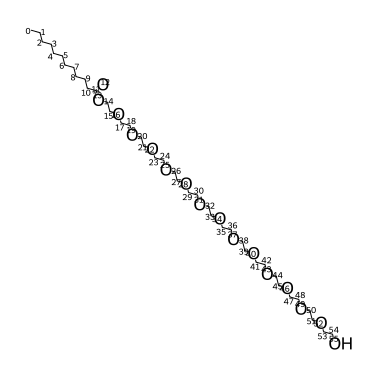 CCCCCCCCCCCC(=O)OCCOCCOCCOCCOCCOCCOCCOCCOCCOCCOCCOCCOCCOCCO